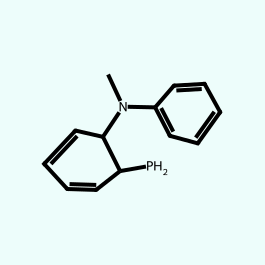 CN(c1ccccc1)C1C=CC=CC1P